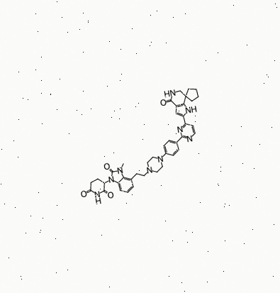 Cn1c(=O)n(C2CCC(=O)NC2=O)c2cccc(CCN3CCN(c4ccc(-c5nccc(-c6cc7c([nH]6)C6(CCCC6)CNC7=O)n5)cc4)CC3)c21